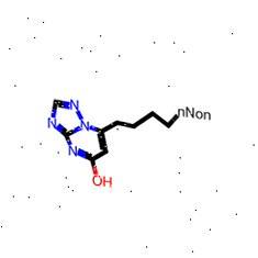 CCCCCCCCCCCCCc1cc(O)nc2ncnn12